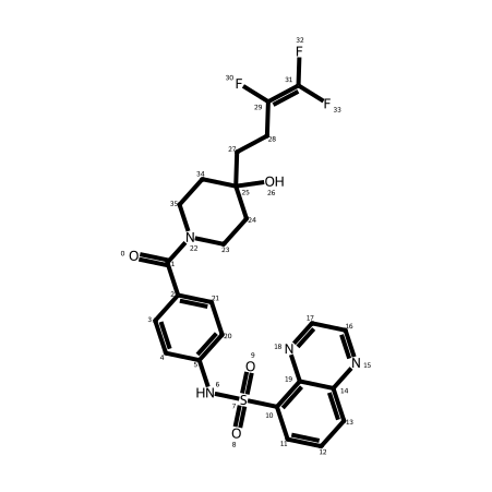 O=C(c1ccc(NS(=O)(=O)c2cccc3nccnc23)cc1)N1CCC(O)(CCC(F)=C(F)F)CC1